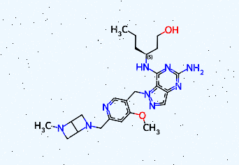 CCC[C@@H](CCO)Nc1nc(N)nc2cnn(Cc3cnc(CN4CC5C4CN5C)cc3OC)c12